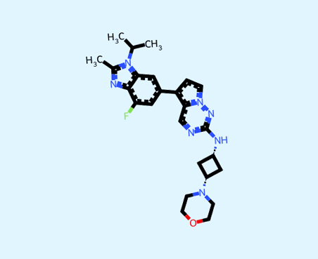 Cc1nc2c(F)cc(-c3ccn4nc(N[C@H]5C[C@@H](N6CCOCC6)C5)ncc34)cc2n1C(C)C